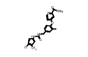 CNC(=O)c1cc(Oc2ccc(CNC(=O)Nc3ccc(Cl)c(C(F)(F)F)c3)cc2C)ccn1